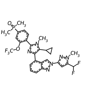 Cn1nc(-n2cc3c(-c4nc(-c5ccc(P(C)(C)=O)cc5OC(F)(F)F)n(C)c4C4CC4)cccc3n2)cc1C(F)F